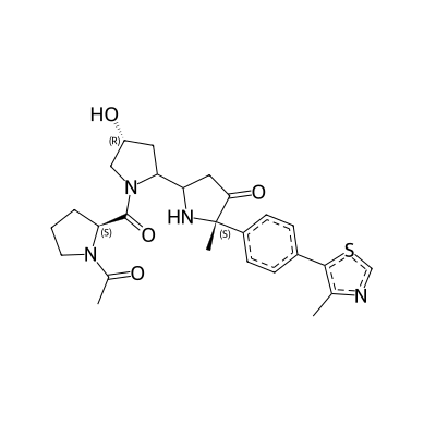 CC(=O)N1CCC[C@H]1C(=O)N1C[C@H](O)CC1C1CC(=O)[C@](C)(c2ccc(-c3scnc3C)cc2)N1